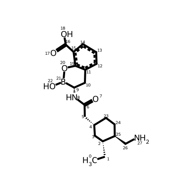 CC[C@@H]1C[C@H](CC(=O)N[C@H]2Cc3cccc(C(=O)O)c3OB2O)CC[C@H]1CN